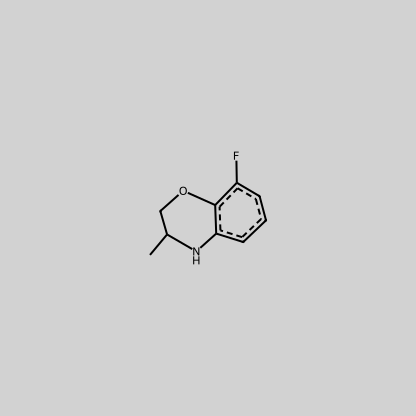 CC1COc2c(F)cccc2N1